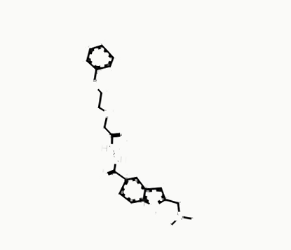 CN(C)Cc1cc2cc(C(=O)NNC(=O)CSCCOc3ccccc3)ccc2o1